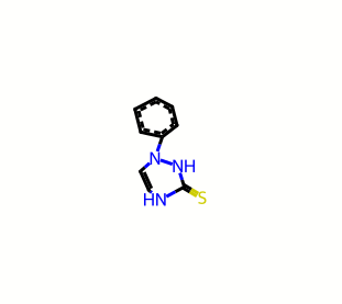 S=C1NC=CN(c2ccccc2)N1